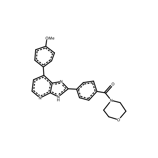 COc1ccc(-c2ccnc3[nH]c(-c4ccc(C(=O)N5CCOCC5)cc4)nc23)cc1